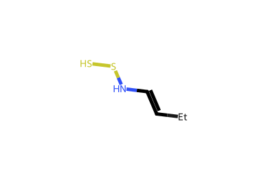 CC/C=C/NSS